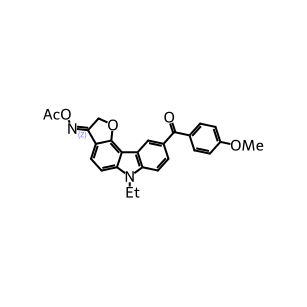 CCn1c2ccc(C(=O)c3ccc(OC)cc3)cc2c2c3c(ccc21)/C(=N/OC(C)=O)CO3